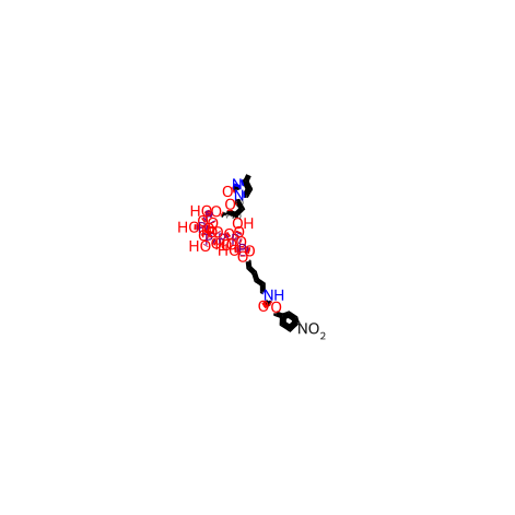 Cc1ccn([C@H]2C[C@@H](O)[C@@H](COP(=O)(O)OP(=O)(O)OP(=O)(O)OP(=O)(O)OP(=O)(O)OP(=O)(O)OCCCCCCNC(=O)OCc3ccc([N+](=O)[O-])cc3)O2)c(=O)n1